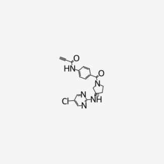 C#CC(=O)Nc1ccc(C(=O)N2CC[C@@H](Nc3ncc(Cl)cn3)C2)cc1